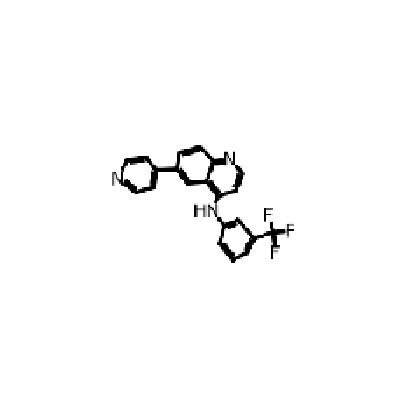 FC(F)(F)c1cccc(Nc2ccnc3ccc(-c4ccncc4)cc23)c1